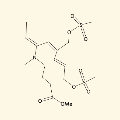 COC(=O)CCCN(C)C(/C=C(\C=C\COS(C)(=O)=O)COS(C)(=O)=O)=C/I